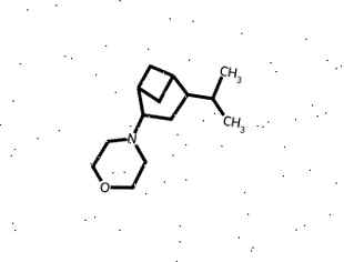 CC(C)C1CC(N2CCOCC2)C2CC1C2